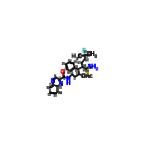 CC(=O)OC(CCNC(=O)c1cnc2ccccc2n1)C(c1ccccc1)C(CCC(C)(C)F)C(N)=S